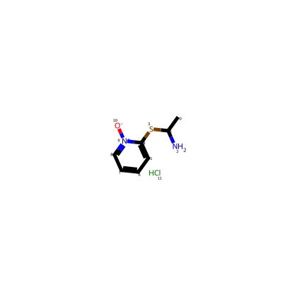 CC(N)Sc1cccc[n+]1[O-].Cl